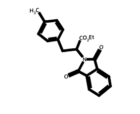 CCOC(=O)C(Cc1ccc(C)cc1)N1C(=O)c2ccccc2C1=O